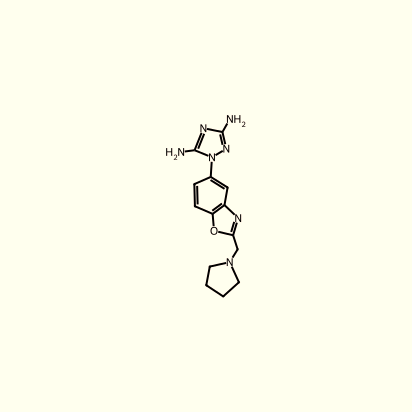 Nc1nc(N)n(-c2ccc3oc(CN4CCCC4)nc3c2)n1